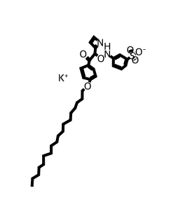 CCCCCCCCCCCCCCCCCCOc1ccc(C(=O)C(ONc2cccc(S(=O)(=O)[O-])c2)C2=NC=C2)cc1.[K+]